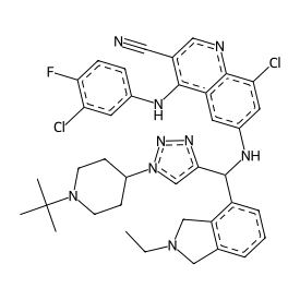 CCN1Cc2cccc(C(Nc3cc(Cl)c4ncc(C#N)c(Nc5ccc(F)c(Cl)c5)c4c3)c3cn(C4CCN(C(C)(C)C)CC4)nn3)c2C1